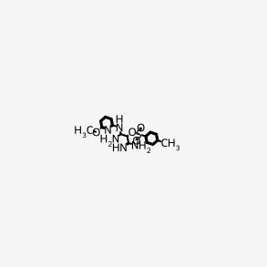 COc1cccc(NC(N)C(OS(=O)(=O)c2ccc(C)cc2)C(=N)N)n1